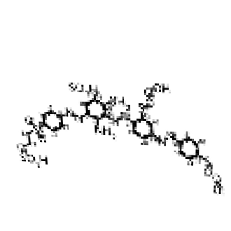 Nc1c(/N=N/c2ccc(S(=O)(=O)CCOS(=O)(=O)O)cc2)cc(S(=O)(=O)O)c(N)c1/N=N/c1ccc(/N=N/c2ccc(SOOO)cc2)cc1SOOO